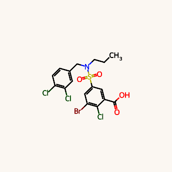 CCCN(Cc1ccc(Cl)c(Cl)c1)S(=O)(=O)c1cc(Br)c(Cl)c(C(=O)O)c1